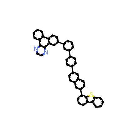 c1cc(-c2ccc(-c3ccc4cc(-c5cccc6c5sc5ccccc56)ccc4c3)cc2)cc(-c2ccc3c4ccccc4c4nccnc4c3c2)c1